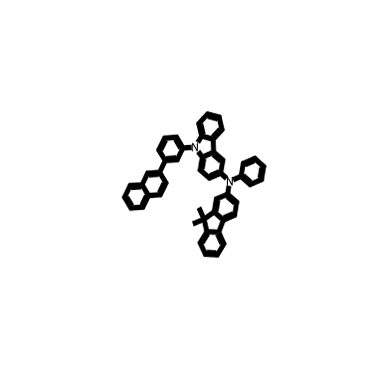 CC1(C)c2ccccc2-c2ccc(N(c3ccccc3)c3ccc4c(c3)c3ccccc3n4-c3cccc(-c4ccc5ccccc5c4)c3)cc21